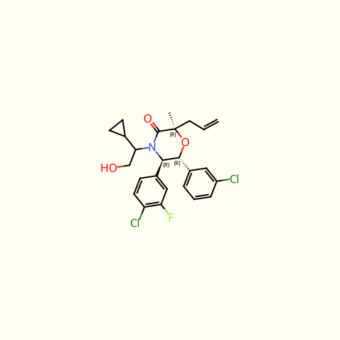 C=CC[C@@]1(C)O[C@H](c2cccc(Cl)c2)[C@@H](c2ccc(Cl)c(F)c2)N(C(CO)C2CC2)C1=O